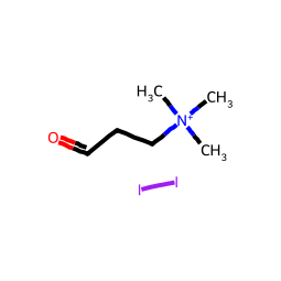 C[N+](C)(C)CCC=O.II